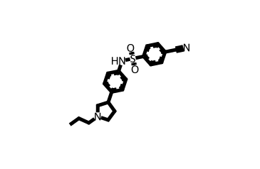 CCCN1CCC(c2ccc(NS(=O)(=O)c3ccc(C#N)cc3)cc2)C1